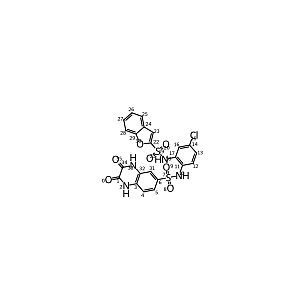 O=c1[nH]c2ccc(S(=O)(=O)Nc3ccc(Cl)cc3NS(=O)(=O)c3cc4ccccc4o3)cc2[nH]c1=O